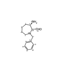 N[C@@H]1CCCCN(Cc2ccccc2)C1C=O